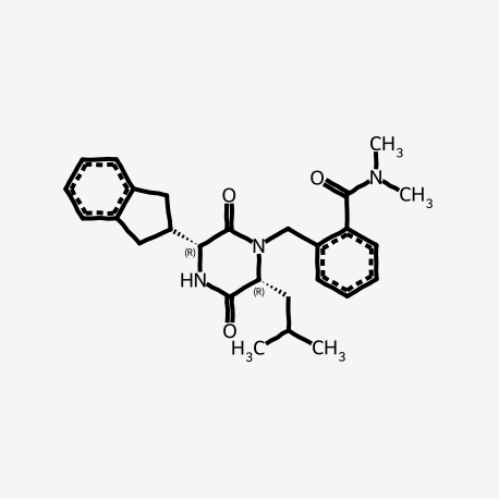 CC(C)C[C@@H]1C(=O)N[C@H](C2Cc3ccccc3C2)C(=O)N1Cc1ccccc1C(=O)N(C)C